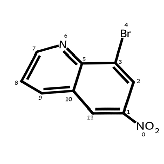 O=[N+]([O-])c1cc(Br)c2ncccc2c1